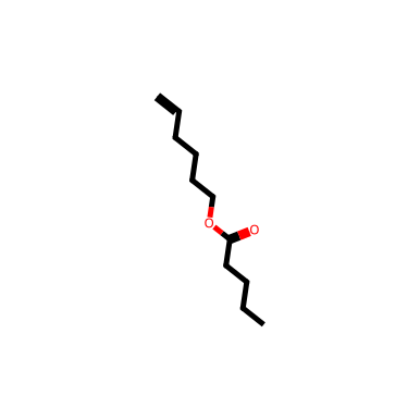 C=CCCCCOC(=O)CCCC